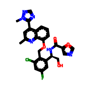 Cc1cc(-c2ncnn2C)c2cccc(OCc3c(Cl)cc(F)cc3[C@H](CO)NC(=O)c3cnco3)c2n1